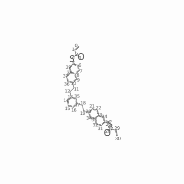 C=CC(=O)Sc1ccc2cc(CCc3cccc(CCc4ccc5cc(SC(=O)C=C)ccc5c4)c3)ccc2c1